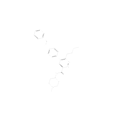 CCCCc1nnc(C(=O)NC2CCN(C)CC2)cc1-c1ccc(OCc2ccccc2)cc1